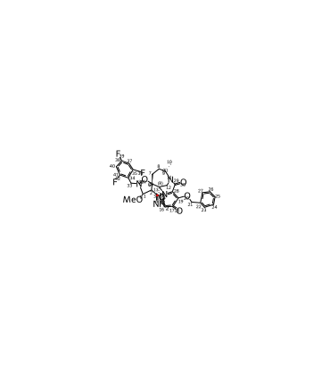 COC1C(C(N)=O)[C@]2(CC[C@H](C)N3C[C@H]2n2ccc(=O)c(OCc4ccccc4)c2C3=O)ON1Cc1c(F)cc(F)cc1F